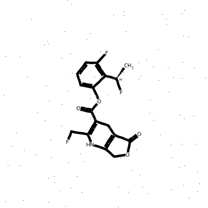 C[C@@H](F)c1c(F)cccc1OC(=O)C1=C(CF)NC2=C(C1)C(=O)OC2